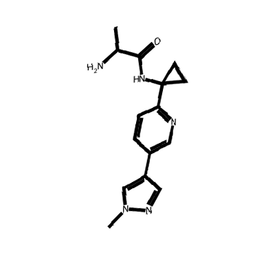 CC(N)C(=O)NC1(c2ccc(-c3cnn(C)c3)cn2)CC1